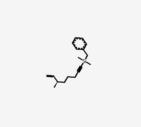 C=C[C@H](C)CCCC#C[Si](C)(C)Cc1ccccc1